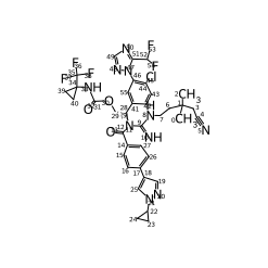 CC(C)(CC#N)CCNC(=N)N(C(=O)c1ccc(-c2cnn(C3CC3)c2)cc1)[C@H](COC(=O)NC1(C(F)(F)F)CC1)c1ccc(Cl)c(-n2ncnc2C(F)F)c1